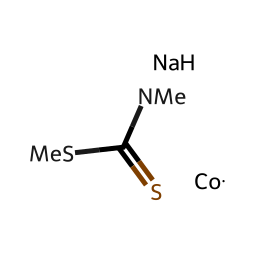 CNC(=S)SC.[Co].[NaH]